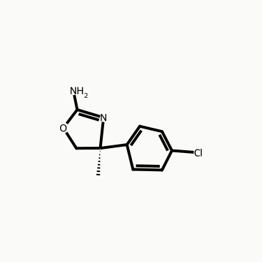 C[C@]1(c2ccc(Cl)cc2)COC(N)=N1